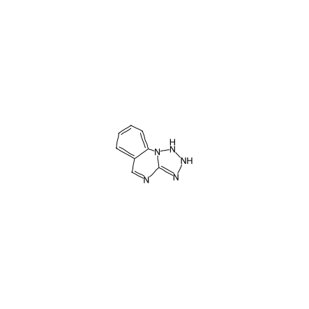 C1=NC2=NNNN2c2ccccc21